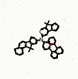 CC1(C)c2ccccc2-c2cc(N(c3ccc(-c4cccc5cccc(-c6ccccc6)c45)cc3)c3ccc4c(c3)C(C)(C)c3c-4ccc4ccccc34)ccc21